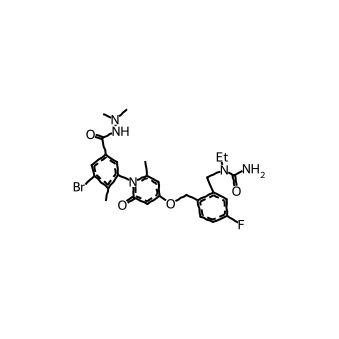 CCN(Cc1cc(F)ccc1COc1cc(C)n(-c2cc(C(=O)NN(C)C)cc(Br)c2C)c(=O)c1)C(N)=O